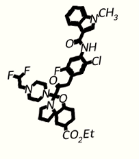 CCOC(=O)C1CCC(OC(C(=O)Cc2cc(Cl)c(NC(=O)c3cn(C)c4ccccc34)cc2F)(N2CCCC2)N2CCN(CC(F)F)CC2)CC1